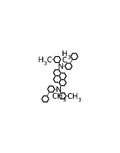 Cc1cccc(N(c2cccc(-c3ccccc3)c2C)c2ccc3ccc4c(N(c5cccc(C)c5)c5cccc(-c6ccccc6)c5C)ccc5ccc2c3c54)c1